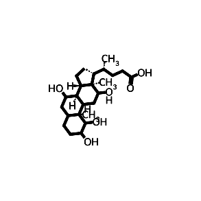 C[C@H](CCC(=O)O)[C@H]1CC[C@H]2[C@@H]3C(O)CC4CCC(O)C(O)[C@]4(C)[C@H]3CC(O)[C@]12C